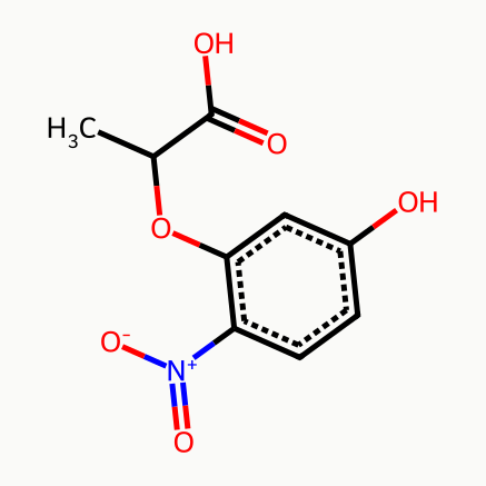 CC(Oc1cc(O)ccc1[N+](=O)[O-])C(=O)O